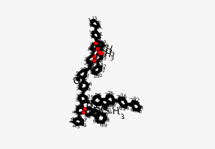 CC1(C)c2cc(-c3ccc(-c4ccccc4)cc3)ccc2-c2ccc(N(c3ccc4oc5cc(-c6ccc(-c7ccc(-c8ccccc8)cc7)c(N(c7ccc8c(c7)C(C)(C)c7cc(-c9ccc(-c%10ccccc%10)cc9)ccc7-8)c7cccc8c7oc7ccccc78)c6)ccc5c4c3)c3ccccc3-c3ccc(-c4ccccc4)cc3)cc21